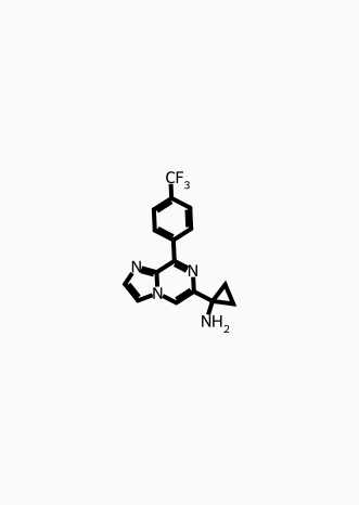 NC1(c2cn3ccnc3c(-c3ccc(C(F)(F)F)cc3)n2)CC1